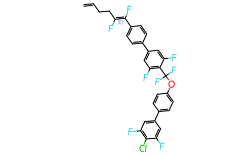 C=CCC/C(F)=C(\F)c1ccc(-c2cc(F)c(C(F)(F)Oc3ccc(-c4cc(F)c(Cl)c(F)c4)cc3)c(F)c2)cc1